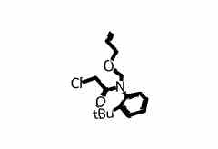 C=CCOCN(C(=O)CCl)c1ccccc1C(C)(C)C